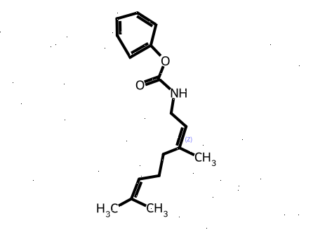 CC(C)=CCC/C(C)=C\CNC(=O)Oc1ccccc1